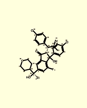 CC[C@@](O)(c1cc(F)c2c(c1)C(=O)N([C@H](c1ccc(Cl)cc1)[C@H](C)C(C)=O)C2(O)c1ccc(Cl)cc1)C1CCOCC1